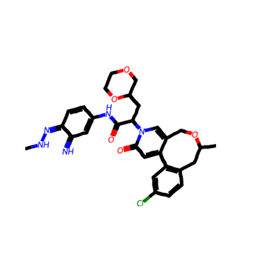 CN/N=C1/C=CC(NC(=O)C(CC2COCCO2)n2cc3c(cc2=O)-c2cc(Cl)ccc2CC(C)OC3)=CC1=N